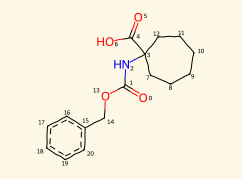 O=C(NC1(C(=O)O)CCCCCC1)OCc1ccccc1